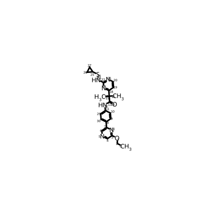 CCOc1cncc(-c2ccc(NC(=O)C(C)(C)c3ccnc(NSC4CC4)n3)cc2)n1